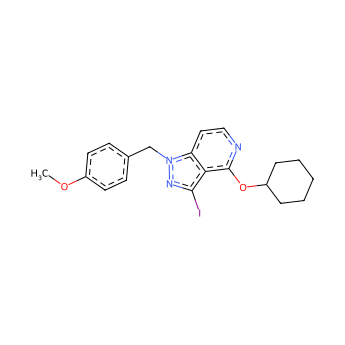 COc1ccc(Cn2nc(I)c3c(OC4CCCCC4)nccc32)cc1